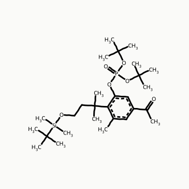 CC(=O)c1cc(C)c(C(C)(C)CCO[Si](C)(C)C(C)(C)C)c(OP(=O)(OC(C)(C)C)OC(C)(C)C)c1